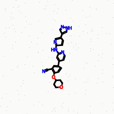 N#Cc1cc(-c2ccnc(Nc3ccc(-c4cn[nH]c4)cn3)c2)ccc1OC1CCOCC1